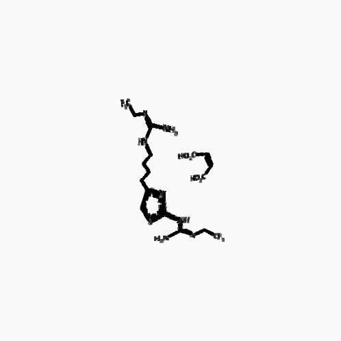 N/C(=N/CC(F)(F)F)NCCCCc1csc(N/C(N)=N\CC(F)(F)F)n1.O=C(O)/C=C\C(=O)O